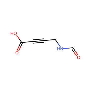 O=[C]NCC#CC(=O)O